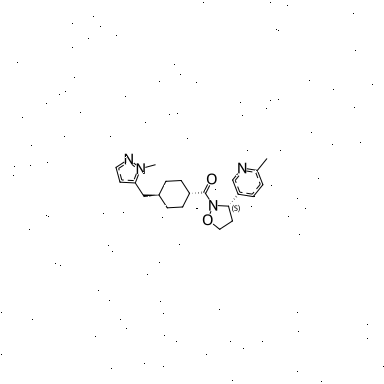 Cc1ccc([C@@H]2CCON2C(=O)[C@H]2CC[C@H](Cc3ccnn3C)CC2)cn1